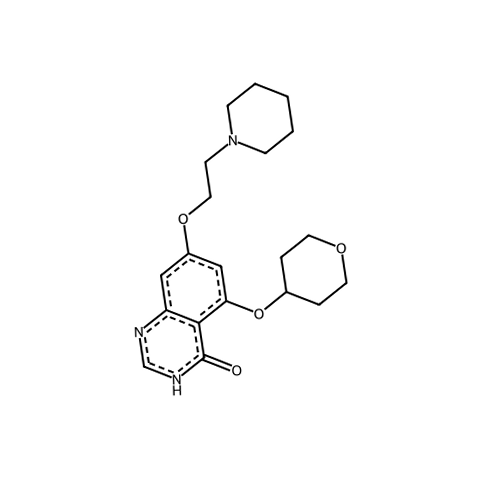 O=c1[nH]cnc2cc(OCCN3CCCCC3)cc(OC3CCOCC3)c12